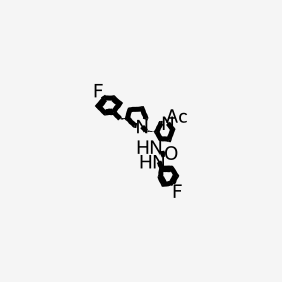 CC(=O)N1CC[C@@H](NC(=O)Nc2ccc(F)cc2)[C@H](CN2CCC[C@@H](Cc3ccc(F)cc3)C2)C1